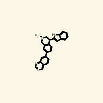 CN1Cc2cc(-c3ccc4cncnc4c3)ccc2C(c2cc3ccccc3[nH]2)C1